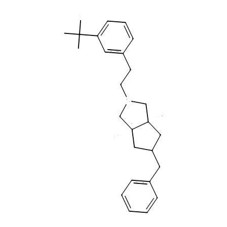 FC(F)(F)c1cccc(CCN2C[C@H]3CC(Cc4ccccc4)C[C@H]3C2)c1